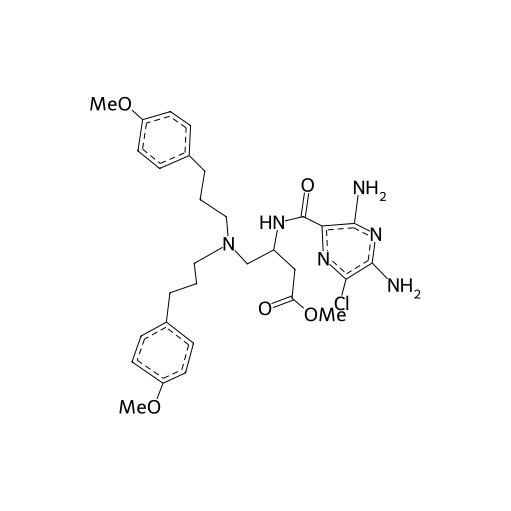 COC(=O)CC(CN(CCCc1ccc(OC)cc1)CCCc1ccc(OC)cc1)NC(=O)c1nc(Cl)c(N)nc1N